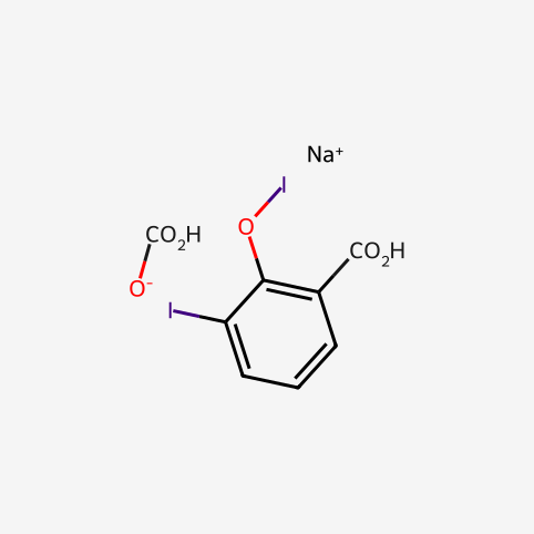 O=C(O)c1cccc(I)c1OI.O=C([O-])O.[Na+]